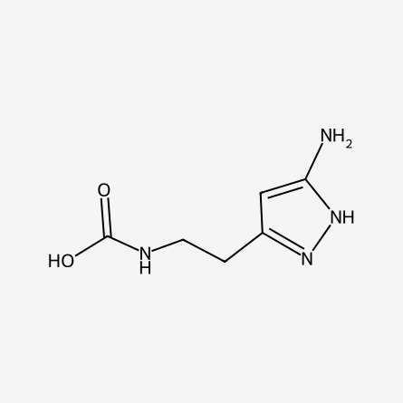 Nc1cc(CCNC(=O)O)n[nH]1